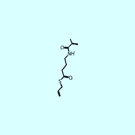 C=CCSC(=O)CCCNC(=O)C(=C)C